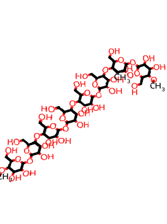 COC1C(CO)OC(OC2OC(CO)C(OC3C(CO)OC(OC4OC(CO)C(OC5C(CO)OC(OC6OC(CO)C(OC7C(CO)OC(OC8OC(CO)C(OC)C(O)C8O)C(O)C7O)C(O)C6O)C(O)C5O)C(O)C4O)C(O)C3O)C(C)C2O)C(O)C1O